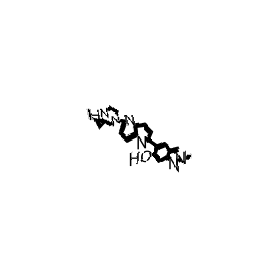 Cn1cc2cc(-c3ccc4nc(N5CCNC6(CC6)C5)ccc4n3)c(O)cc2n1